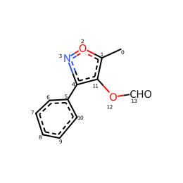 Cc1onc(-c2ccccc2)c1OC=O